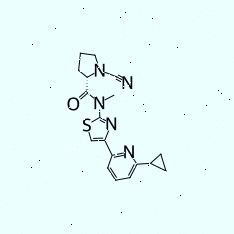 CN(C(=O)[C@@H]1CCCN1C#N)c1nc(-c2cccc(C3CC3)n2)cs1